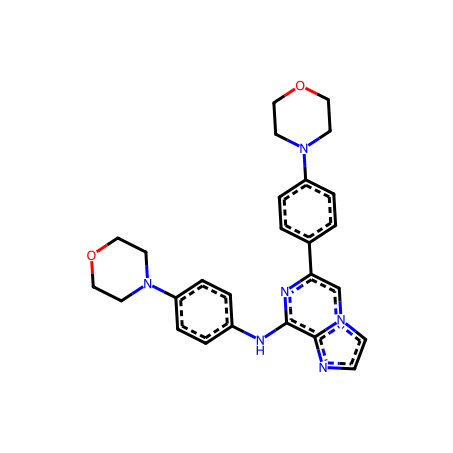 c1cn2cc(-c3ccc(N4CCOCC4)cc3)nc(Nc3ccc(N4CCOCC4)cc3)c2n1